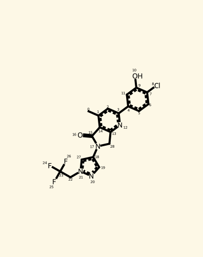 Cc1cc(-c2ccc(Cl)c(O)c2)nc2c1C(=O)N(c1cnn(CC(F)(F)F)c1)C2